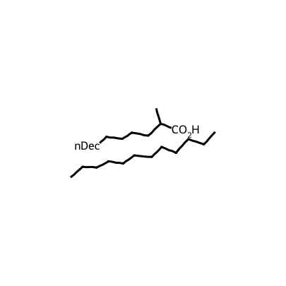 CCCCCCCCCCCC.CCCCCCCCCCCCCCC(C)C(=O)O